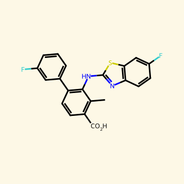 Cc1c(C(=O)O)ccc(-c2cccc(F)c2)c1Nc1nc2ccc(F)cc2s1